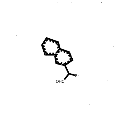 O=CC(Br)c1ccc2ccccc2c1